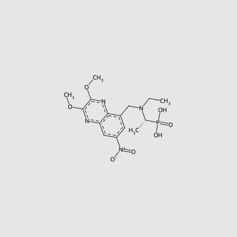 CCN(Cc1cc([N+](=O)[O-])cc2nc(OC)c(OC)nc12)[C@@H](C)P(=O)(O)O